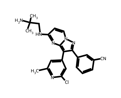 Cc1cc(-c2c(-c3cccc(C#N)c3)nn3ccc(NCC(C)(C)N)nc23)cc(Cl)n1